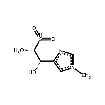 C[C@@H]([C@@H](O)c1cn(C)cn1)[SH](=O)=O